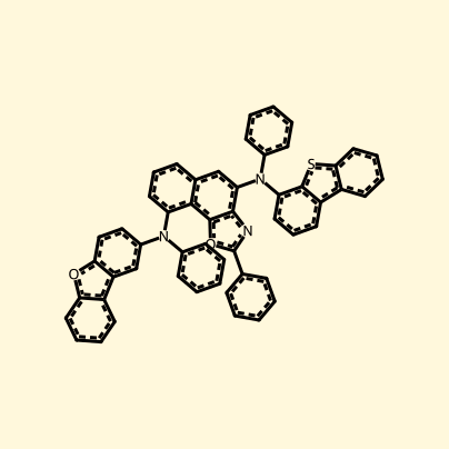 c1ccc(-c2nc3c(N(c4ccccc4)c4cccc5c4sc4ccccc45)cc4cccc(N(c5ccccc5)c5ccc6oc7ccccc7c6c5)c4c3o2)cc1